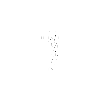 CCCC[C@](C)(CO)Nc1nc(N)nc2cc(-c3ccc(N4CCN(CC(F)(F)F)CC4)nc3)ncc12